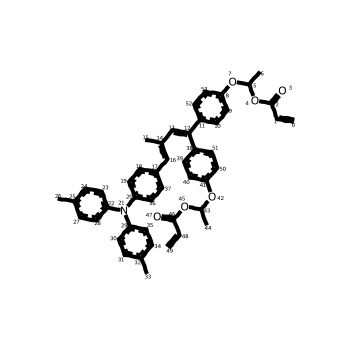 C=CC(=O)OC(C)Oc1ccc(C(=CC(C)=Cc2ccc(N(c3ccc(C)cc3)c3ccc(C)cc3)cc2)c2ccc(OC(C)OC(=O)C=C)cc2)cc1